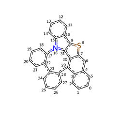 c1ccc2c(c1)cc1sc3c4ccccc4n4c5ccccc5c5ccccc5c2c1c34